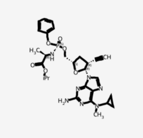 C#C[C@H]1C[C@@H](CO[P@@](=O)(N[C@H](C)C(=O)OC(C)C)Oc2ccccc2)O[C@H]1n1cnc2c(N(C)C3CC3)nc(N)nc21